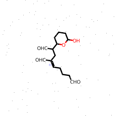 O=CCCC/C=C(/C=O)CC(C=O)C1CCCC(O)O1